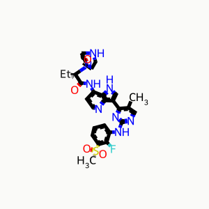 CC[C@H](C(=O)Nc1ccnc2c(-c3nc(Nc4cccc(S(C)(=O)=O)c4F)ncc3C)c[nH]c12)N1CC2COCC1CN2